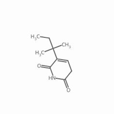 CCC(C)(C)C1=CCC(=O)NC1=O